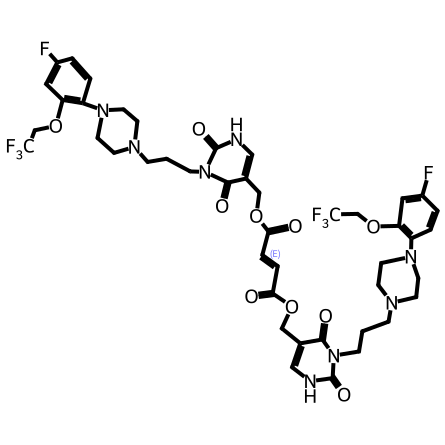 O=C(/C=C/C(=O)OCc1c[nH]c(=O)n(CCCN2CCN(c3ccc(F)cc3OCC(F)(F)F)CC2)c1=O)OCc1c[nH]c(=O)n(CCCN2CCN(c3ccc(F)cc3OCC(F)(F)F)CC2)c1=O